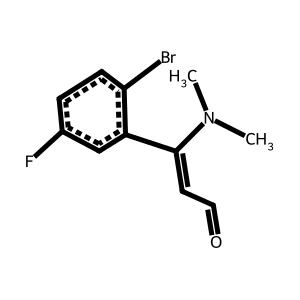 CN(C)C(=CC=O)c1cc(F)ccc1Br